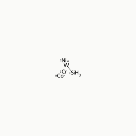 [Co].[Cr].[Ni].[SiH3][W]